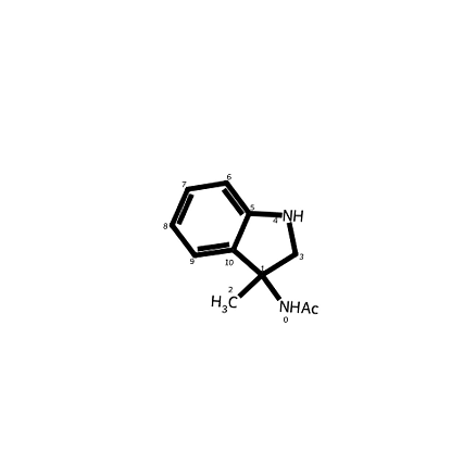 CC(=O)NC1(C)CNc2ccccc21